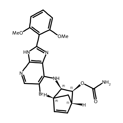 COc1cccc(OC)c1-c1nc2c(N[C@H]3[C@@H](OC(N)=O)[C@@H]4C=C[C@H]3C4)c(Br)cnc2[nH]1